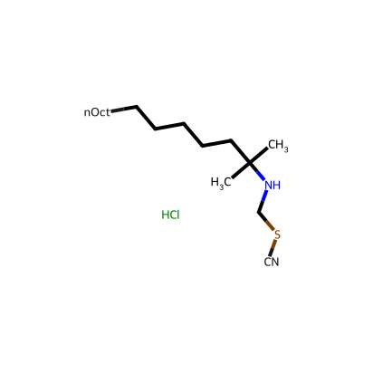 CCCCCCCCCCCCCC(C)(C)NCSC#N.Cl